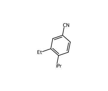 CCc1cc(C#N)ccc1C(C)C